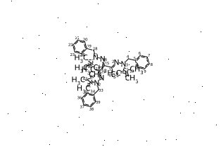 CCC(=NN(Cc1ccccc1)[Si](C)(C)C)C(=NN(Cc1ccccc1)[Si](C)(C)C)C(C)=NN(Cc1ccccc1)[Si](C)(C)C